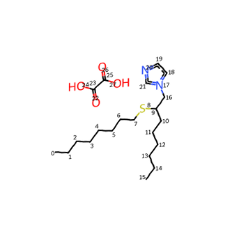 CCCCCCCCSC(CCCCCC)Cn1ccnc1.O=C(O)C(=O)O